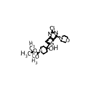 CC(C)(C)OC(=O)N1CCC(O)(c2cc3nc(Cl)nc(N4CCOCC4)c3s2)CC1